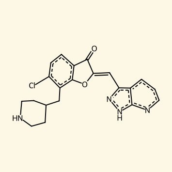 O=C1C(=Cc2n[nH]c3ncccc23)Oc2c1ccc(Cl)c2CC1CCNCC1